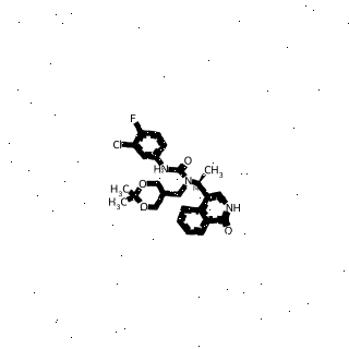 C[C@@H](c1c[nH]c(=O)c2ccccc12)N(CC1COC(C)(C)OC1)C(=O)Nc1ccc(F)c(Cl)c1